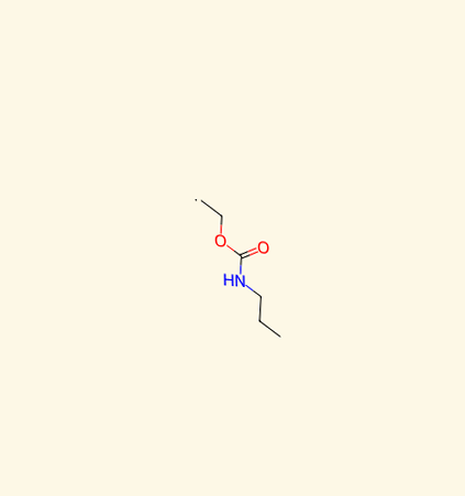 [CH2]COC(=O)NCCC